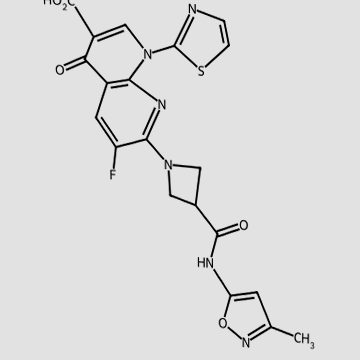 Cc1cc(NC(=O)C2CN(c3nc4c(cc3F)c(=O)c(C(=O)O)cn4-c3nccs3)C2)on1